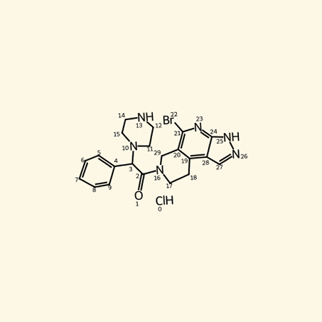 Cl.O=C(C(c1ccccc1)N1CCNCC1)N1CCc2c(c(Br)nc3[nH]ncc23)C1